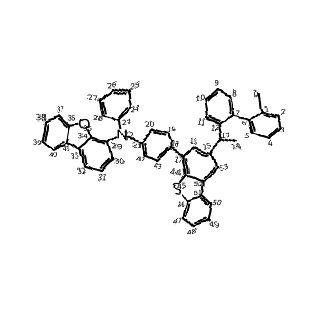 Cc1ccccc1-c1ccccc1C(C)c1cc(-c2ccc(N(c3ccccc3)c3cccc4c3oc3ccccc34)cc2)c2sc3ccccc3c2c1